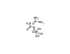 NC(N)=O.NC(N)=O.O=P(O)(O)O